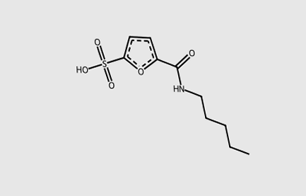 CCCCCNC(=O)c1ccc(S(=O)(=O)O)o1